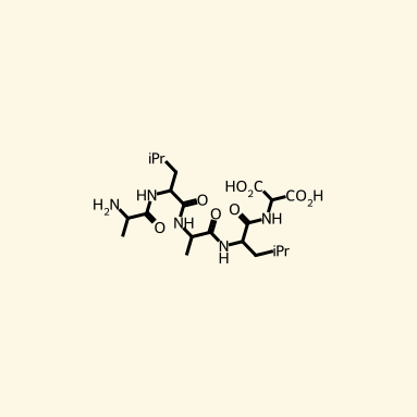 CC(C)CC(NC(=O)C(C)N)C(=O)NC(C)C(=O)NC(CC(C)C)C(=O)NC(C(=O)O)C(=O)O